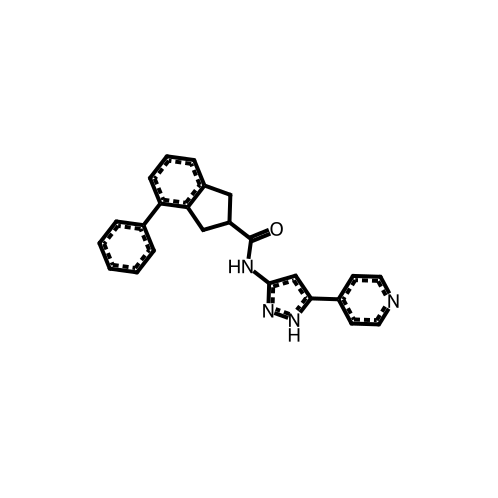 O=C(Nc1cc(-c2ccncc2)[nH]n1)C1Cc2cccc(-c3ccccc3)c2C1